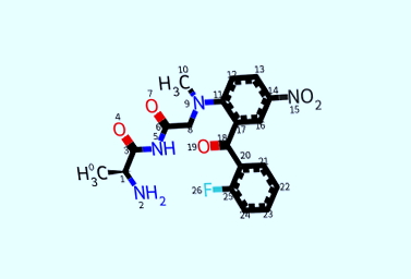 C[C@H](N)C(=O)NC(=O)CN(C)c1ccc([N+](=O)[O-])cc1C(=O)c1ccccc1F